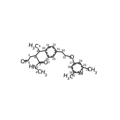 CNC(=O)C(CC=O)C(C)c1ccc(CCOc2cc(C)nc(C)c2)cc1